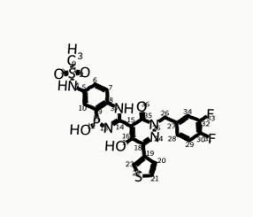 CS(=O)(=O)Nc1ccc2c(c1)P(O)N=C(c1c(O)c(-c3ccsc3)nn(Cc3ccc(F)c(F)c3)c1=O)N2